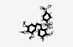 COc1cc(/C=C\c2ccc(F)c(OC)c2NS(=O)(=O)c2ccc([N+](=O)[O-])cc2)cc(OC)c1OC